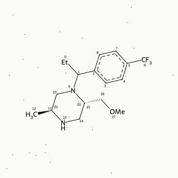 CCC(c1ccc(C(F)(F)F)cc1)N1C[C@H](C)NC[C@H]1COC